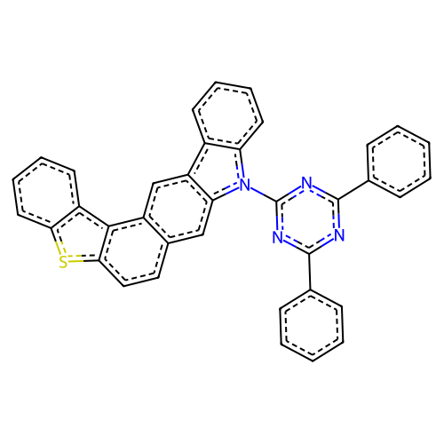 c1ccc(-c2nc(-c3ccccc3)nc(-n3c4ccccc4c4cc5c(ccc6sc7ccccc7c65)cc43)n2)cc1